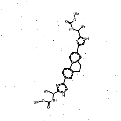 CC(C)C(NC(=O)OC(C)(C)C)c1nc(-c2ccc3c(c2)CCc2cc(-c4c[nH]c(C(NC(=O)OC(C)(C)C)C(C)C)n4)ccc2-3)c[nH]1